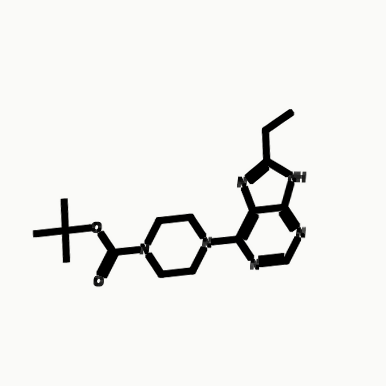 CCc1nc2c(N3CCN(C(=O)OC(C)(C)C)CC3)ncnc2[nH]1